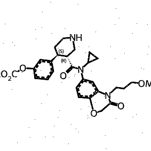 CCOC(=O)Oc1cccc([C@H]2CCNC[C@@H]2C(=O)N(c2ccc3c(c2)N(CCCOC)C(=O)CO3)C2CC2)c1